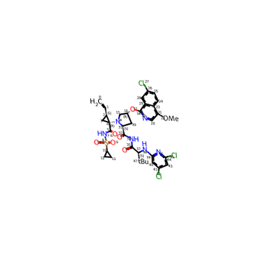 C=C[C@@H]1C[C@@]1(C(=O)NS(=O)(=O)C1CC1)N1C[C@H](Oc2ncc(OC)c3ccc(Cl)cc23)C[C@H]1C(=O)NC(=O)[C@@H](Nc1cc(Cl)cc(Cl)n1)C(C)(C)C